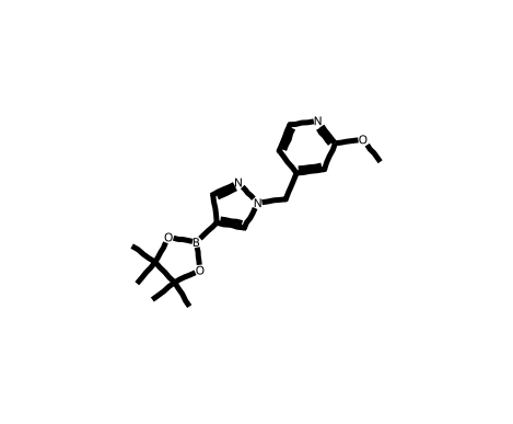 COc1cc(Cn2cc(B3OC(C)(C)C(C)(C)O3)cn2)ccn1